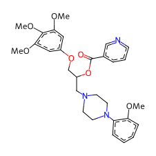 COc1ccccc1N1CCN(CC(COc2cc(OC)c(OC)c(OC)c2)OC(=O)c2cccnc2)CC1